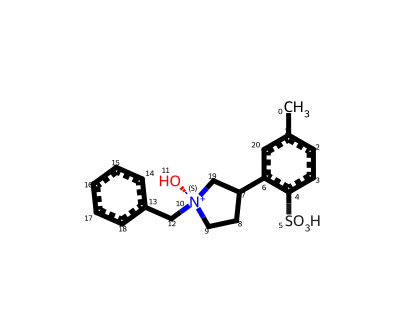 Cc1ccc(S(=O)(=O)O)c(C2CC[N@@+](O)(Cc3ccccc3)C2)c1